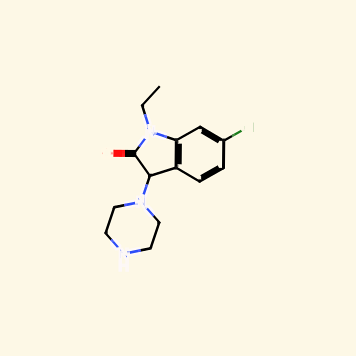 CCN1C(=O)C(N2CCNCC2)c2ccc(Cl)cc21